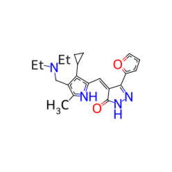 CCN(CC)Cc1c(C)[nH]c(C=C2C(=O)NN=C2c2ccco2)c1C1CC1